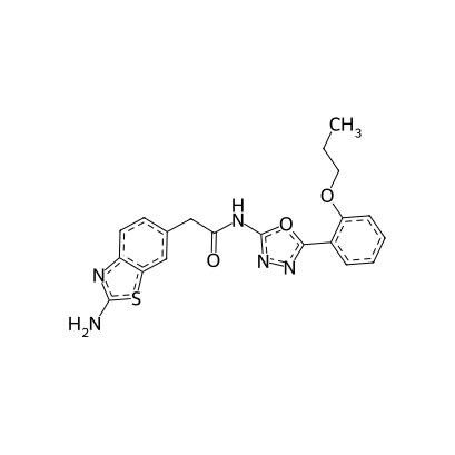 CCCOc1ccccc1-c1nnc(NC(=O)Cc2ccc3nc(N)sc3c2)o1